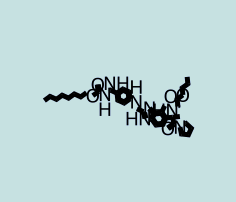 CCCCCCCCOC(=O)NC(=N)c1ccc(NCc2nc3c(C)c(C(C)(NCC(=O)OCCC)C(=O)N4CCCC4)ccc3[nH]2)cc1